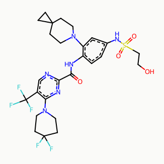 O=C(Nc1ccc(NS(=O)(=O)CCO)cc1N1CCC2(CC1)CC2)c1ncc(C(F)(F)F)c(N2CCC(F)(F)CC2)n1